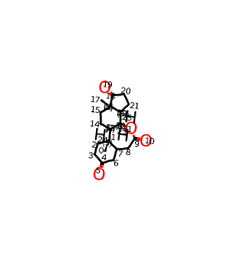 C[C@]12CCC(=O)CC1CC(=O)O[C@@H]1[C@@H]2CC[C@]2(C)C(=O)CC[C@@H]12